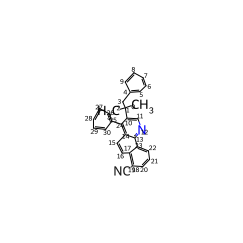 CC(C)(Cc1ccccc1)c1cnc2c(ccc3c(C#N)cccc32)c1-c1ccccc1